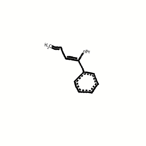 C=CC=C(CCC)c1ccccc1